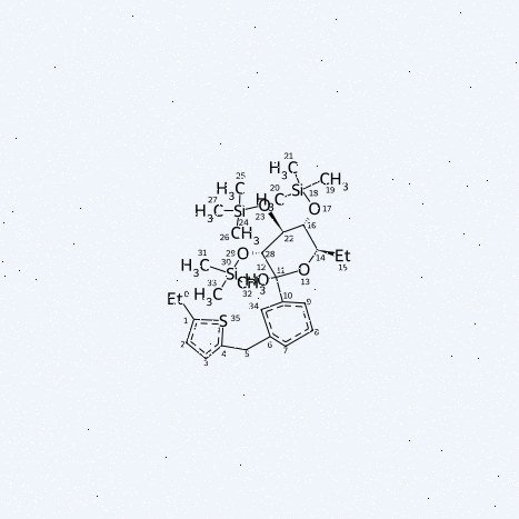 CCc1ccc(Cc2cccc(C3(O)O[C@H](CC)[C@@H](O[Si](C)(C)C)[C@H](O[Si](C)(C)C)[C@H]3O[Si](C)(C)C)c2)s1